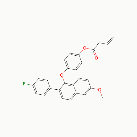 C=CCC(=O)Oc1ccc(Oc2c(-c3ccc(F)cc3)ccc3cc(OC)ccc23)cc1